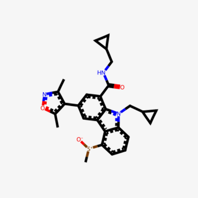 Cc1noc(C)c1-c1cc(C(=O)NCC2CC2)c2c(c1)c1c([S+](C)[O-])cccc1n2CC1CC1